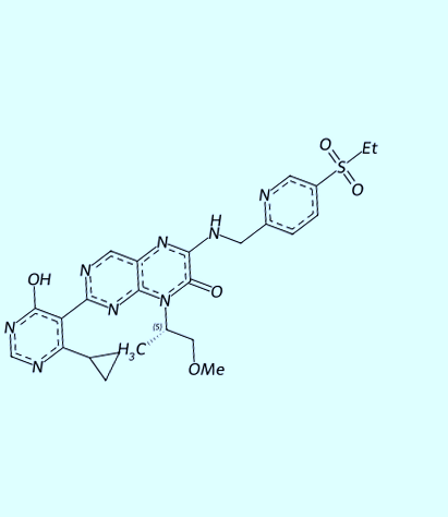 CCS(=O)(=O)c1ccc(CNc2nc3cnc(-c4c(O)ncnc4C4CC4)nc3n([C@@H](C)COC)c2=O)nc1